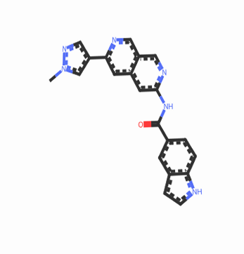 Cn1cc(-c2cc3cc(NC(=O)c4ccc5[nH]ccc5c4)ncc3cn2)cn1